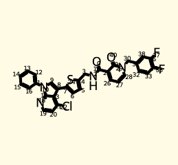 O=C(NCc1ccc(-c2cn(-c3ccccc3)c3nccc(Cl)c23)s1)c1cccn(Cc2ccc(F)c(F)c2)c1=O